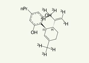 [2H]C([2H])=C([C@@H]1CCC(C([2H])([2H])[2H])=C[C@H]1c1c(O)cc(CCC)cc1O)C([2H])([2H])[2H]